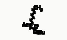 C=CCCCCC[C@H](CC(=O)OC(C)(C)C)C(C)=O